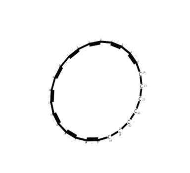 [C]1=C/C=C\C=C/C=C\C=C/C=C\C=C/C=C\C=C/CCCCCCC\1